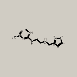 CN/C(=N\[N+](=O)[O-])NCCNCc1ccsn1